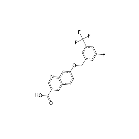 O=C(O)c1cnc2cc(OCc3cc(F)cc(C(F)(F)F)c3)ccc2c1